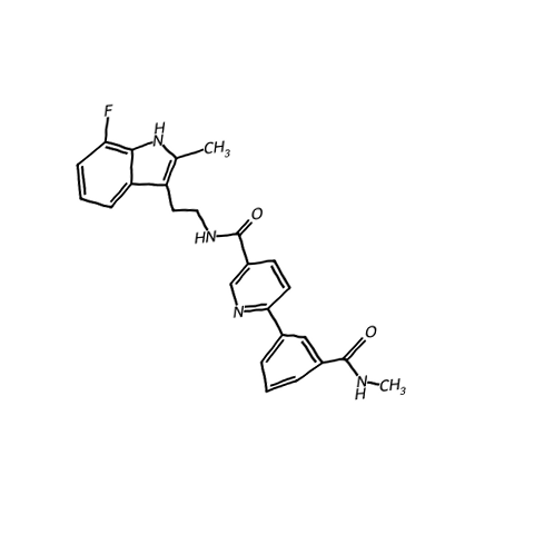 CNC(=O)c1cccc(-c2ccc(C(=O)NCCc3c(C)[nH]c4c(F)cccc34)cn2)c1